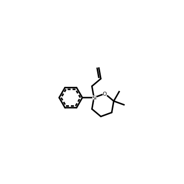 C=CC[Si]1(c2ccccc2)CCCC(C)(C)O1